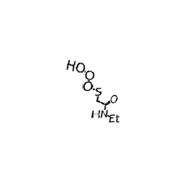 CCNC(=O)CSOOO